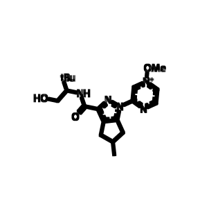 CO[n+]1ccnc(-n2nc(C(=O)NC(CO)C(C)(C)C)c3c2CC(C)C3)c1